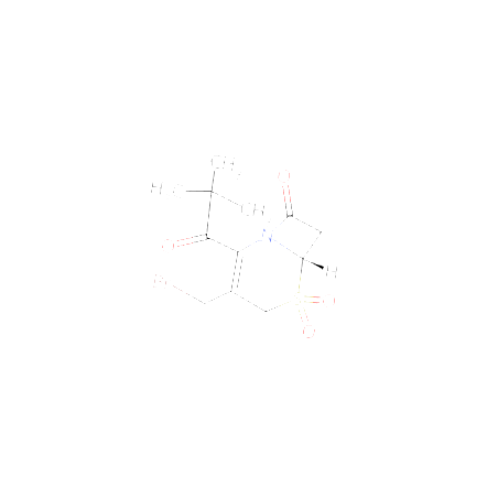 CC(C)(C)C(=O)C1=C(CBr)CS(=O)(=O)[C@H]2CC(=O)N12